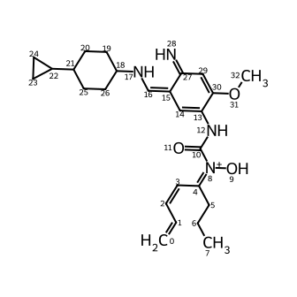 C=C/C=C\C(CCC)=[N+](\O)C(=O)NC1=C/C(=C/NC2CCC(C3CC3)CC2)C(=N)C=C1OC